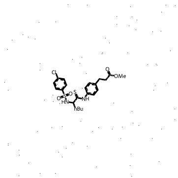 CCCCC(NS(=O)(=O)c1ccc(Cl)cc1)C(=S)Nc1ccc(CCC(=O)OC)cc1